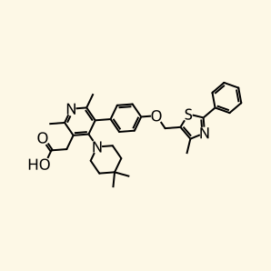 Cc1nc(-c2ccccc2)sc1COc1ccc(-c2c(C)nc(C)c(CC(=O)O)c2N2CCC(C)(C)CC2)cc1